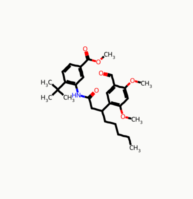 CCCCCC(CC(=O)Nc1cc(C(=O)OC)ccc1C(C)(C)C)c1cc(C=O)c(OC)cc1OC